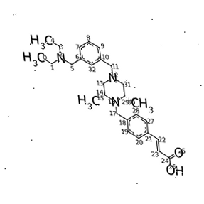 CCN(CC)Cc1cccc(CN2C[C@@H](C)N(Cc3ccc(/C=C/C(=O)O)cc3)[C@@H](C)C2)c1